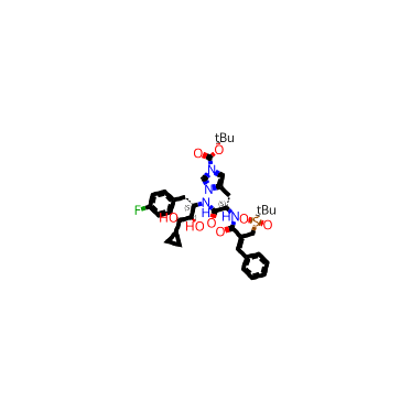 CC(C)(C)OC(=O)n1cnc(C[C@H](NC(=O)C(=Cc2ccccc2)CS(=O)(=O)C(C)(C)C)C(=O)N[C@@H](Cc2ccc(F)cc2)[C@@H](O)[C@@H](O)C2CC2)c1